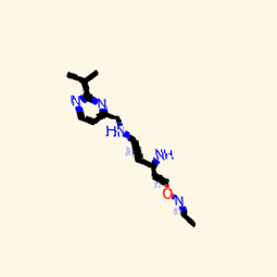 C/C=N/O/C=C/C(=N)/C=C/NCc1ccnc(C(C)C)n1